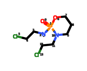 O=P1([N]CCCl)OCCCN1CCCl